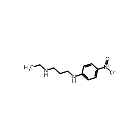 CCNCCCNc1ccc([N+](=O)[O-])cc1